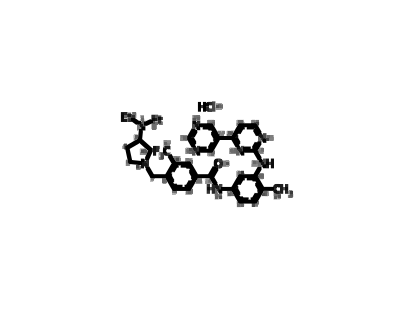 CCN(CC)C1CCN(Cc2ccc(C(=O)Nc3ccc(C)c(Nc4nccc(-c5cncnc5)n4)c3)cc2C(F)(F)F)C1.Cl